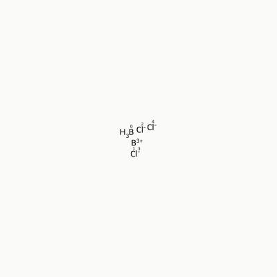 B.[B+3].[Cl-].[Cl-].[Cl-]